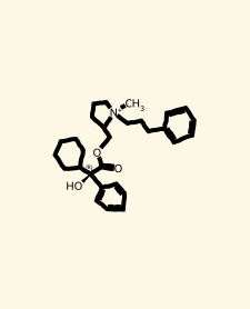 C[N+]1(CCCc2ccccc2)CCCC1COC(=O)[C@](O)(c1ccccc1)C1CCCCC1